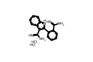 Cl.Cl.N=C(N)c1ccccc1-c1[nH]c2ccccc2c1C(=N)N